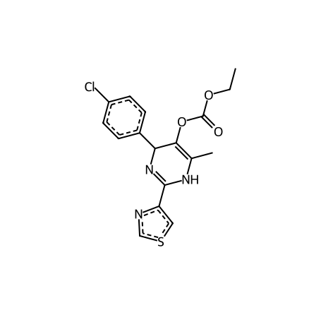 CCOC(=O)OC1=C(C)NC(c2cscn2)=NC1c1ccc(Cl)cc1